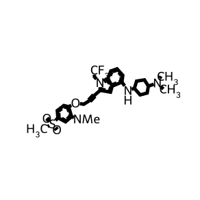 CNc1cc(S(C)(=O)=O)ccc1OCC#Cc1cc2c(NC3CCC(N(C)C)CC3)cccc2n1CC(F)(F)F